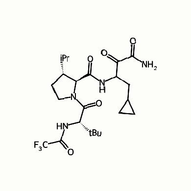 CC(C)[C@H]1CCN(C(=O)[C@@H](NC(=O)C(F)(F)F)C(C)(C)C)[C@@H]1C(=O)NC(CC1CC1)C(=O)C(N)=O